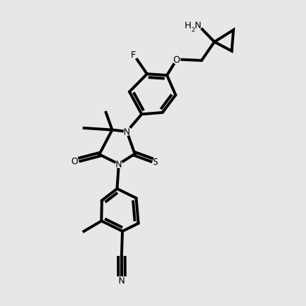 Cc1cc(N2C(=O)C(C)(C)N(c3ccc(OCC4(N)CC4)c(F)c3)C2=S)ccc1C#N